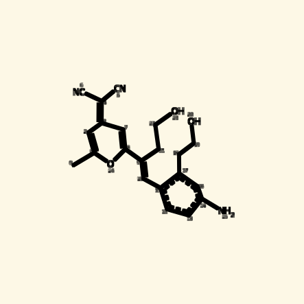 CC1=CC(=C(C#N)C#N)C=C(C(=Cc2ccc(N)cc2CCO)CCO)O1